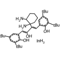 CC(C)(C)c1cc(C=C(O)C(=Cc2cc(C(C)(C)C)cc(C(C)(C)C)c2O)C2(N)CCCCC2N)c(O)c(C(C)(C)C)c1.[InH3]